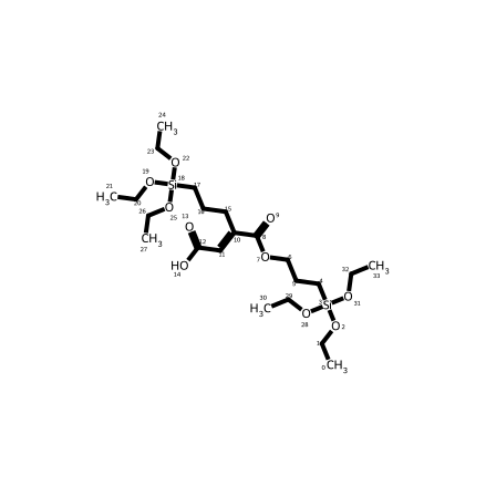 CCO[Si](CCCOC(=O)C(=CC(=O)O)CCC[Si](OCC)(OCC)OCC)(OCC)OCC